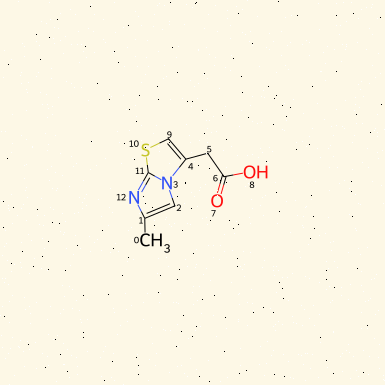 Cc1cn2c(CC(=O)O)csc2n1